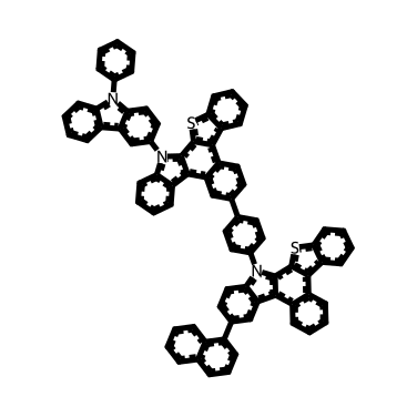 c1ccc(-n2c3ccccc3c3cc(-n4c5ccccc5c5c6cc(-c7ccc(-n8c9ccc(-c%10cccc%11ccccc%10%11)cc9c9c%10ccccc%10c%10c%11ccccc%11sc%10c98)cc7)ccc6c6c7ccccc7sc6c54)ccc32)cc1